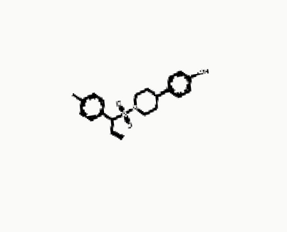 C=CC(c1ccc(C)cc1)S(=O)(=O)N1CCC(c2ccc(O)cc2)CC1